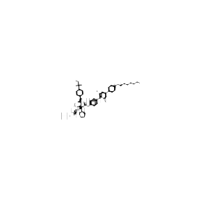 CCCCCCCOc1ccc(-c2cnc(-c3ccc(C[C@H](NC(=O)c4ccc(C(C)(C)CC)cc4)C(=O)N4CCC[C@H]4C(=O)O)cc3)nc2)cc1